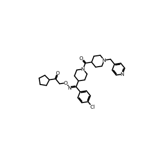 O=C(CON=C(c1ccc(Cl)cc1)C1CCN(C(=O)C2CCN(Cc3ccncc3)CC2)CC1)C1CCCC1